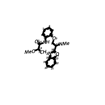 CNC(COc1ccccc1NC(=O)C(C)OC)c1nc2ccccc2o1